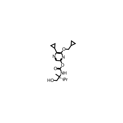 CC(C)[C@@](C)(CO)NC(=O)Oc1cnc(C2CC2)c(OCC2CC2)n1